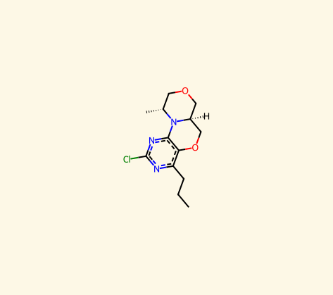 CCCc1nc(Cl)nc2c1OC[C@@H]1COC[C@@H](C)N21